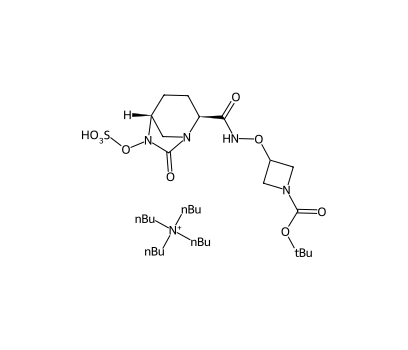 CC(C)(C)OC(=O)N1CC(ONC(=O)[C@@H]2CC[C@@H]3CN2C(=O)N3OS(=O)(=O)O)C1.CCCC[N+](CCCC)(CCCC)CCCC